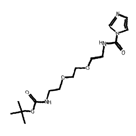 CC(C)(C)OC(=O)NCCOCCOCCNC(=O)n1ccnc1